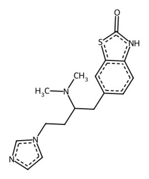 CN(C)C(CCn1ccnc1)Cc1ccc2[nH]c(=O)sc2c1